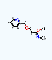 CCO/C(CCOCc1ccccn1)=N\C#N